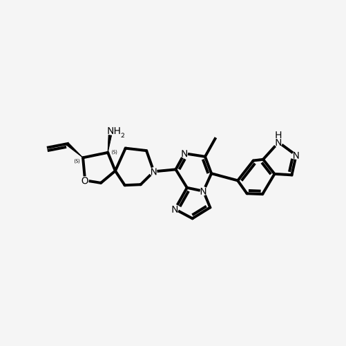 C=C[C@@H]1OCC2(CCN(c3nc(C)c(-c4ccc5cn[nH]c5c4)n4ccnc34)CC2)[C@@H]1N